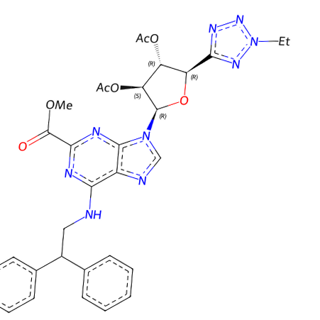 CCn1nnc([C@H]2O[C@@H](n3cnc4c(NCC(c5ccccc5)c5ccccc5)nc(C(=O)OC)nc43)[C@@H](OC(C)=O)[C@@H]2OC(C)=O)n1